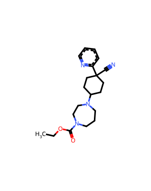 CCOC(=O)N1CCCN(C2CCC(C#N)(c3ccccn3)CC2)CC1